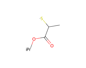 CC(C)OC(=O)C(C)[S]